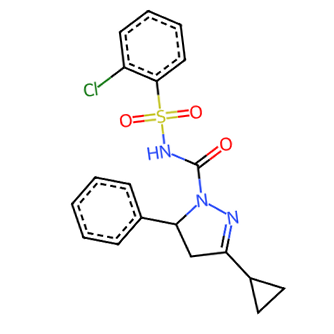 O=C(NS(=O)(=O)c1ccccc1Cl)N1N=C(C2CC2)CC1c1ccccc1